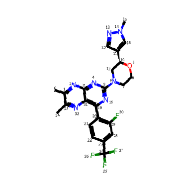 Cc1nc2nc(N3CCO[C@H](c4cnn(C)c4)C3)nc(-c3ccc(C(F)(F)F)cc3F)c2nc1C